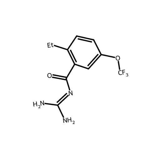 CCc1ccc(OC(F)(F)F)cc1C(=O)N=C(N)N